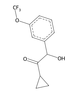 O=C(C1CC1)C(O)c1cccc(OC(F)(F)F)c1